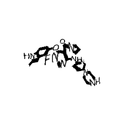 Cc1cc2c(F)c(Oc3ncnc(Nc4ccc(N5CCNCC5)cn4)c3C(=O)N3CCC3)ccc2[nH]1